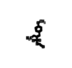 CC/C(=C\c1ccc(OC)cc1)S(=O)(=O)N=C=O